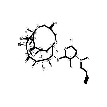 C#CCCN(C)[C@H]1C[C@@H](C)OC(O[C@@H]2[C@@H](C)[C@H](O)[C@@H](C)C(=O)O[C@H](CC)[C@@](C)(O)[C@@H]3OCC(=O)CO[C@]2(C)C[C@@H](C)/C(=N\C(C)=O)[C@@H]3C)[C@@H]1C